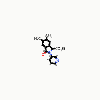 CCOC(=O)C1c2cc(C)c(C)cc2C(=O)N1c1cccnc1